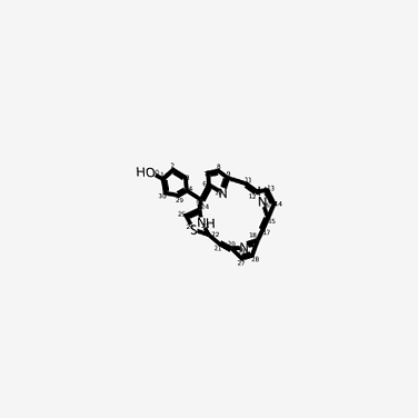 Oc1ccc(C2=C3C=CC(=N3)C=c3ccc([nH]3)=CC3=NC(=CC4NC2=CS4)C=C3)cc1